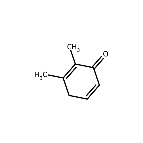 CC1=C(C)C(=O)C=CC1